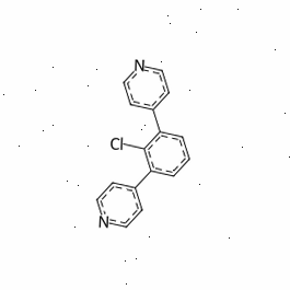 Clc1c(-c2ccncc2)cccc1-c1ccncc1